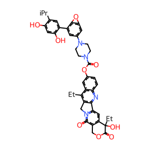 CCc1c2c(nc3ccc(OC(=O)N4CCN(c5cc6c(c(-c7cc(C(C)C)c(O)cc7O)c5)O6)CC4)cc13)-c1cc3c(c(=O)n1C2)COC(=O)C3(O)CC